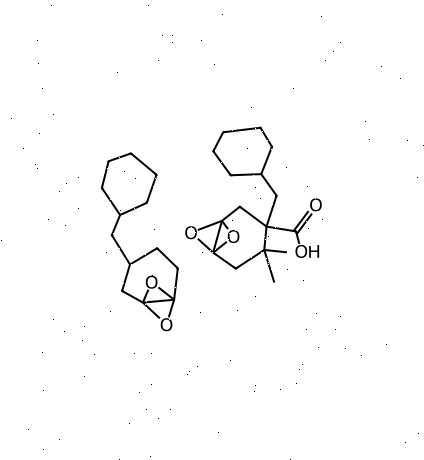 C1CCC(CC2CCC34OC3(C2)O4)CC1.CC1(C)CC23OC2(CC1(CC1CCCCC1)C(=O)O)O3